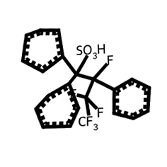 O=S(=O)(O)C(c1ccccc1)(c1ccccc1)C(F)(c1ccccc1)C(F)(F)C(F)(F)F